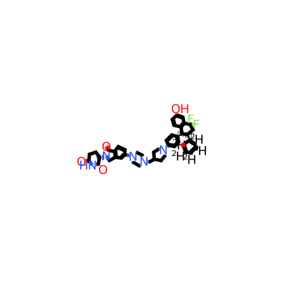 [2H]c1c([2H])c([2H])c([C@@H]2CC(F)(F)c3cc(O)ccc3[C@@H]2c2ccc(N3CCC(CN4CCN(c5ccc6c(c5)CN([C@H]5CCC(=O)NC5=O)C6=O)CC4)CC3)cc2)c([2H])c1[2H]